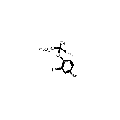 CCOC(=O)C(C)(C)Oc1ccc(Br)cc1F